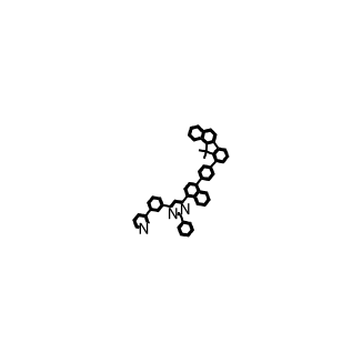 CC1(C)c2c(-c3ccc(-c4ccc(-c5cc(-c6cccc(-c7cccnc7)c6)nc(-c6ccccc6)n5)c5ccccc45)cc3)cccc2-c2ccc3ccccc3c21